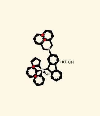 Cl.Cl.[SiH2]=[Zr]([C]1=CC=CC1)([c]1ccccc1)([c]1ccccc1)[CH]1c2ccccc2-c2ccc(N(Cc3ccccc3)Cc3ccccc3)cc21